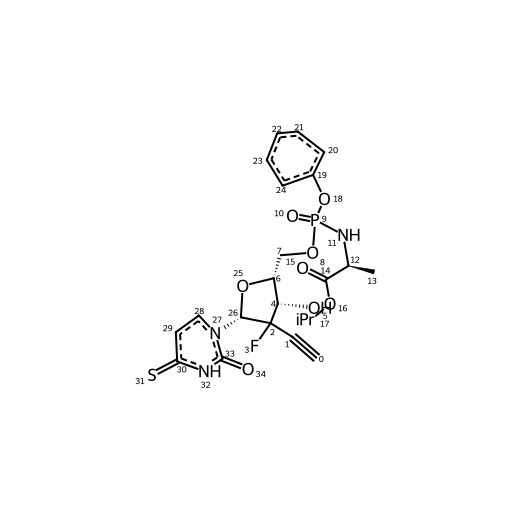 C#CC1(F)[C@@H](O)[C@@H](COP(=O)(N[C@@H](C)C(=O)OC(C)C)Oc2ccccc2)O[C@H]1n1ccc(=S)[nH]c1=O